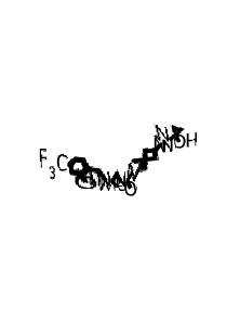 COc1cc(C(F)(F)F)ccc1CNC1CN(C(=O)N2CC3(CC(n4cnc(C5(O)CC5)n4)C3)C2)C1